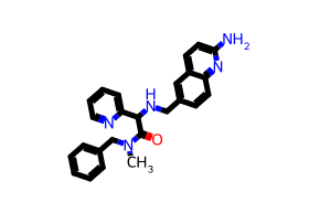 CN(Cc1ccccc1)C(=O)C(NCc1ccc2nc(N)ccc2c1)c1ccccn1